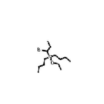 CCCC[Si](CCCC)(OCC)C(Br)CC